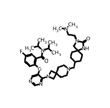 CC(C)N(C(=O)c1cc(F)ccc1Oc1cncnc1N1CC2(CCN(CC3CCC4(CC3)CN(CCN(C)C)C(=O)N4)CC2)C1)C(C)C